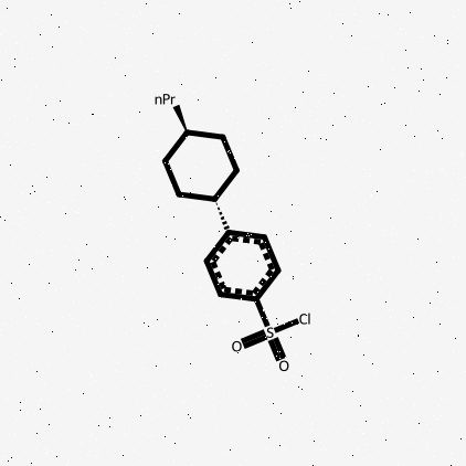 CCC[C@H]1CC[C@H](c2ccc(S(=O)(=O)Cl)cc2)CC1